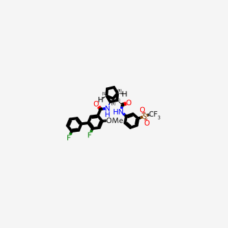 COc1cc(F)c(-c2cccc(F)c2)cc1C(=O)N[C@@H]1[C@H]2CC[C@H](C2)[C@@H]1C(=O)Nc1cccc(S(=O)(=O)C(F)(F)F)c1